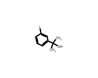 CC(C)(O)c1cccc(I)c1